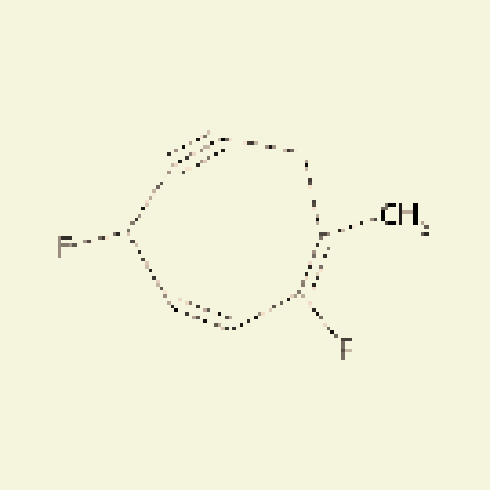 C/C1=C(F)/C=C\C(F)C#CC1